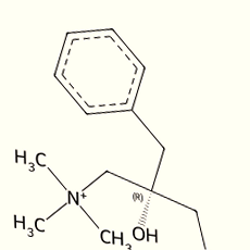 C[N+](C)(C)C[C@](O)(CC(=O)[O-])Cc1ccccc1